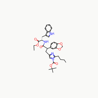 CCCCc1nc(CC(C(=O)N[C@@H](Cc2c[nH]c3ccccc23)C(=O)OCC)c2ccc3c(c2)OCO3)cn1C(=O)OC(C)(C)C